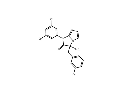 CC1(Cc2cccc(Br)c2)C(=O)N(c2cc(Cl)cc(Cl)c2)c2nccn21